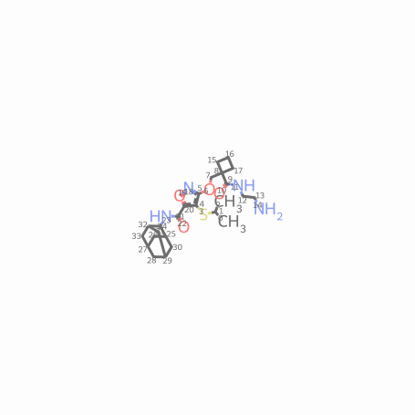 CC(C)Sc1c(OCC2(C(=O)NCCN)CCC2)noc1C(=O)NC1C2CC3CC(C2)CC1C3